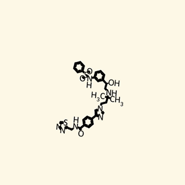 CC(C)(CCn1cnc(-c2ccc(C(=O)NCc3nncs3)cc2)c1)NC[C@H](O)c1cccc(NS(=O)(=O)c2ccccc2)c1